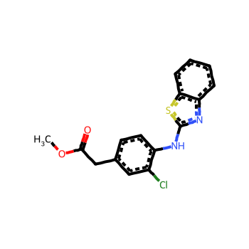 COC(=O)Cc1ccc(Nc2nc3ccccc3s2)c(Cl)c1